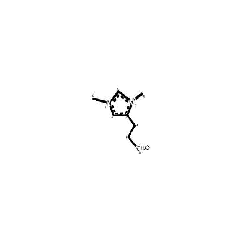 Cn1cc(CCC=O)[n+](C)c1